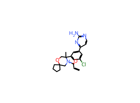 C=CC(=O)N1CC2(CCCC2)OCC1(C)c1cc(Cl)cc(-c2ccnc(N)n2)c1